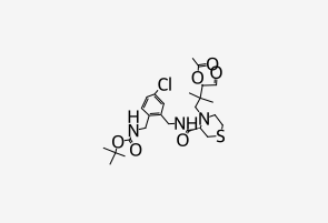 CC(=O)O[C@@H](C=O)C(C)(C)CN1CCSC[C@H]1C(=O)NCc1cc(Cl)ccc1CNC(=O)OC(C)(C)C